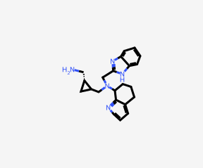 NC[C@H]1CC1CN(Cc1nc2ccccc2[nH]1)C1CCCc2cccnc21